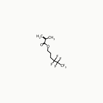 C=C(C)C(=O)OCCCC(F)(F)C(F)(F)C(F)(F)F